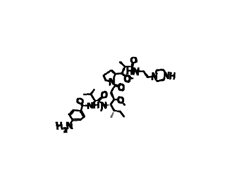 CC[C@H](C)[C@@H]([C@@H](CC(=O)N1CCCC1[C@H](OC)[C@@H](C)C(=O)NCCN1CCNCC1)OC)N(C)C(=O)C(NC(=O)c1ccc(N)cc1)C(C)C